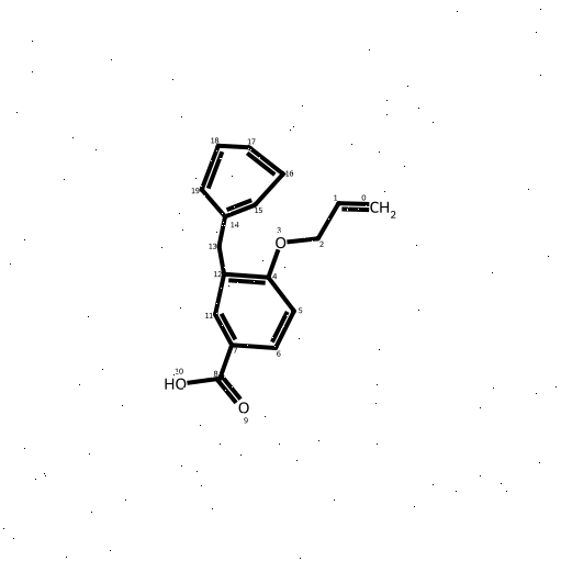 C=CCOc1ccc(C(=O)O)cc1Cc1ccccc1